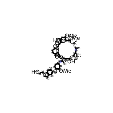 CC[C@@H]1/C=C(/C)C[C@H](C)C[C@H](OC)C2O[C@@](O)(C(=O)C(=O)N3CCCC[C@H]3C(=O)O[C@H](/C(C)=C/[C@@H]3CC[C@@H](Oc4ccc5c(ccn5CCO)c4)[C@H](OC)C3)[C@H](C)[C@@H](O)CC1=O)[C@H](C)C[C@@H]2OC